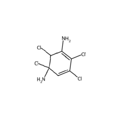 NC1=C(Cl)C(Cl)=CC(N)(Cl)C1Cl